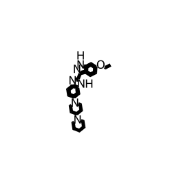 CCOc1ccc2c(-c3nc4ccc(N5CCC(N6CCCCC6)CC5)cc4[nH]3)n[nH]c2c1